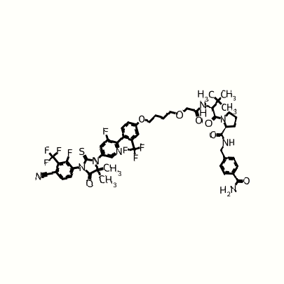 CC(C)(C)[C@H](NC(=O)COCCCCOc1ccc(-c2ncc(N3C(=S)N(c4ccc(C#N)c(C(F)(F)F)c4F)C(=O)C3(C)C)cc2F)c(C(F)(F)F)c1)C(=O)N1CCC[C@H]1C(=O)NCc1ccc(C(N)=O)cc1